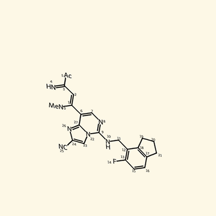 CN/C(=C\C(=N)C(C)=O)c1cnc(NCc2c(F)ccc3c2CCC3)n2cc(C#N)nc12